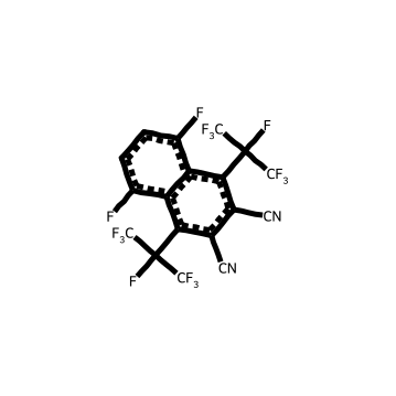 N#Cc1c(C#N)c(C(F)(C(F)(F)F)C(F)(F)F)c2c(F)ccc(F)c2c1C(F)(C(F)(F)F)C(F)(F)F